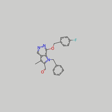 Cc1c(C=O)n(Cc2ccccc2)c2c(OCc3ccc(F)cc3)nncc12